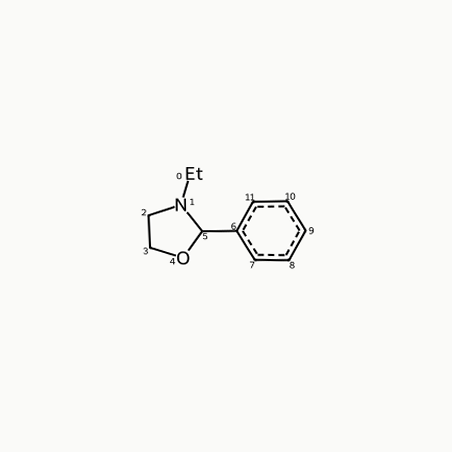 CCN1CCOC1c1ccccc1